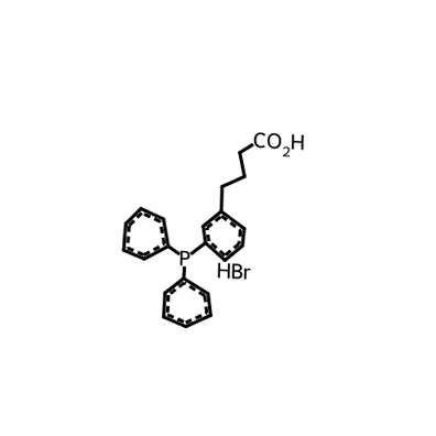 Br.O=C(O)CCCc1cccc(P(c2ccccc2)c2ccccc2)c1